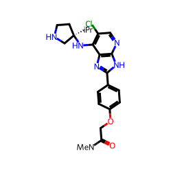 CNC(=O)COc1ccc(-c2nc3c(N[C@]4(C(C)C)CCNC4)c(Cl)cnc3[nH]2)cc1